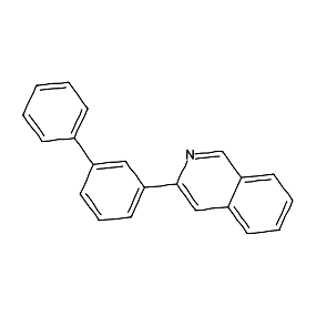 c1ccc(-c2cccc(-c3cc4ccccc4cn3)c2)cc1